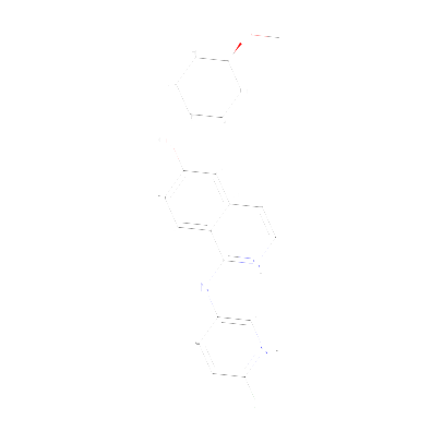 CO[C@H]1CC[C@H](Oc2ccc3c(Nc4ccc(Cl)nc4)nccc3c2)CC1